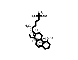 CC(=O)O[C@H]1CCCC2=CC[C@H]3[C@@H]4CC[C@H]([C@H](C)CCCC(C)(C)OC(C)=O)[C@@]4(C)CC[C@@H]3[C@]21C